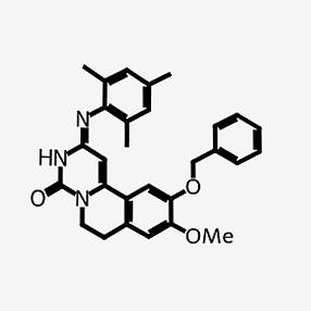 COc1cc2c(cc1OCc1ccccc1)-c1c/c(=N\c3c(C)cc(C)cc3C)[nH]c(=O)n1CC2